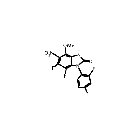 COc1c([N+](=O)[O-])c(F)c(F)c2c1[nH]c(=O)n2-c1ccc(I)cc1F